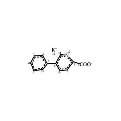 O=C([O-])c1ccc(-c2ccccc2)cn1.[K+]